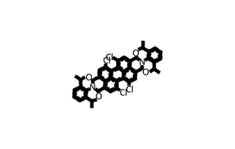 CC(C)c1cccc(C(C)C)c1N1C(=O)c2cc(Cl)c3c4c(Cl)cc5c6c(cc(Cl)c(c7c(Cl)cc(c2c37)C1=O)c64)C(=O)N(c1c(C(C)C)cccc1C(C)C)C5=O